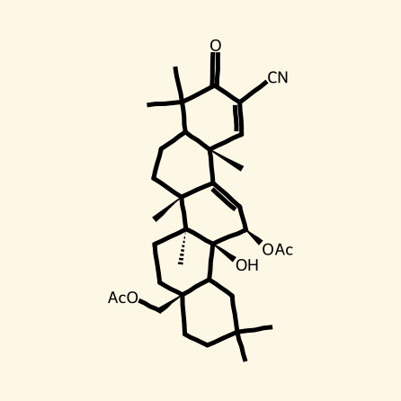 CC(=O)OC[C@]12CCC(C)(C)CC1[C@@]1(O)[C@H](OC(C)=O)C=C3[C@@]4(C)C=C(C#N)C(=O)C(C)(C)C4CC[C@@]3(C)[C@]1(C)CC2